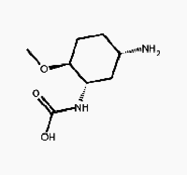 CO[C@H]1CC[C@H](N)C[C@@H]1NC(=O)O